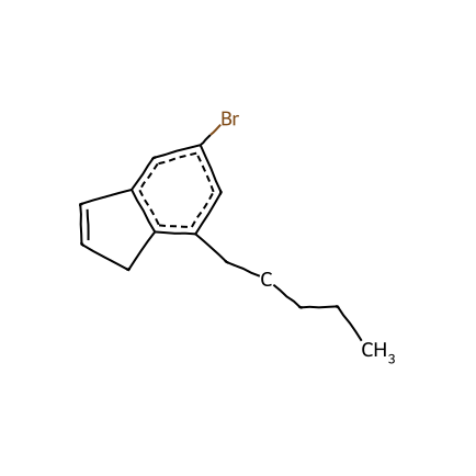 CCCCCc1cc(Br)cc2c1CC=C2